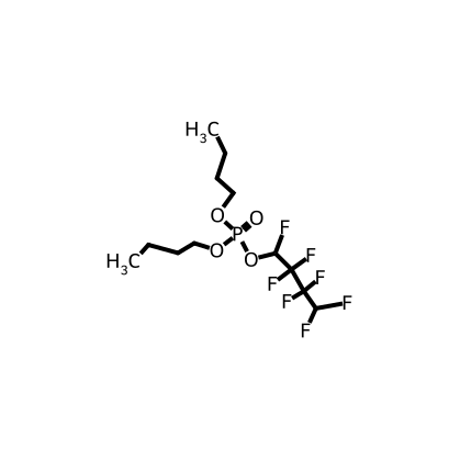 CCCCOP(=O)(OCCCC)OC(F)C(F)(F)C(F)(F)C(F)F